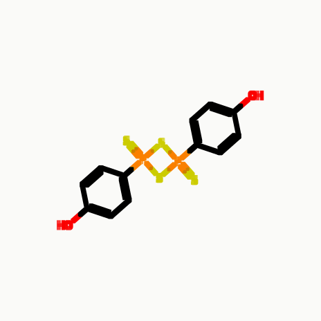 Oc1ccc(P2(=S)SP(=S)(c3ccc(O)cc3)S2)cc1